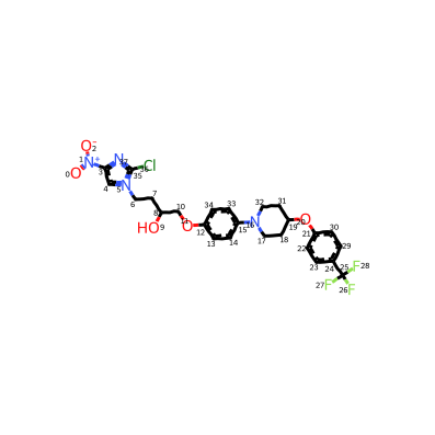 O=[N+]([O-])c1cn(CCC(O)COc2ccc(N3CCC(Oc4ccc(C(F)(F)F)cc4)CC3)cc2)c(Cl)n1